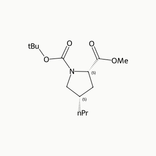 CCC[C@H]1C[C@@H](C(=O)OC)N(C(=O)OC(C)(C)C)C1